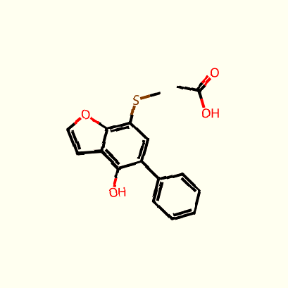 CC(=O)O.CSc1cc(-c2ccccc2)c(O)c2ccoc12